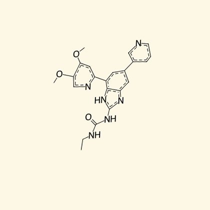 CCNC(=O)Nc1nc2cc(-c3cccnc3)cc(-c3cc(OC)c(OC)cn3)c2[nH]1